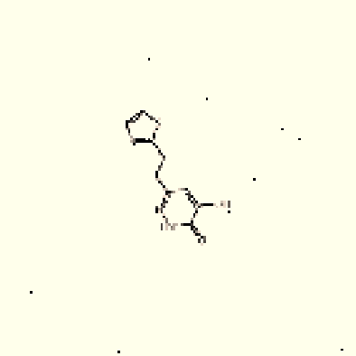 O=c1[nH]nc(CCc2nccs2)cc1O